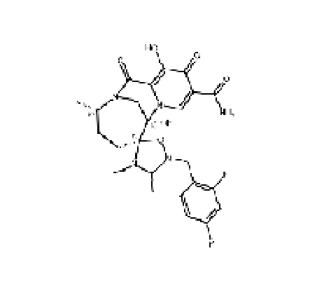 CC1N(Cc2ccc(F)cc2F)O[C@@]2(CC[C@H](C)N3C[C@H]2n2cc(C(N)=O)c(=O)c(O)c2C3=O)N1C